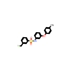 N#Cc1ccc(Oc2cccc(NS(=O)(=O)c3cccc(CF)c3)c2)cc1